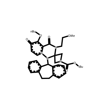 CCCCOc1c2n(ccc1=O)N(C1c3ccccc3CCc3ccccc31)C1(CN(C(=O)OC(C)(C)C)C1)N(CCOC)C2=O